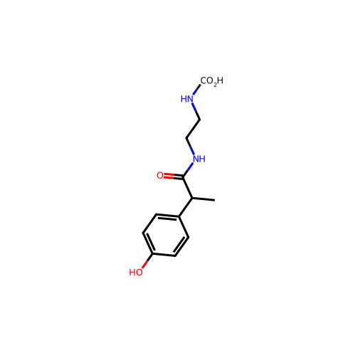 CC(C(=O)NCCNC(=O)O)c1ccc(O)cc1